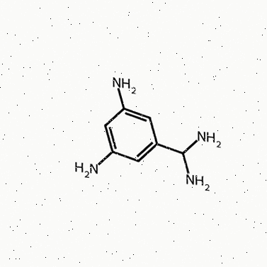 Nc1cc(N)cc(C(N)N)c1